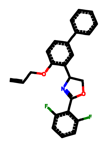 C=CCOc1ccc(-c2ccccc2)cc1C1COC(c2c(F)cccc2F)=N1